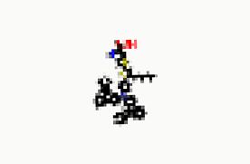 CCCCCCc1cc(-c2ccc(/C=C(\C#N)C(=O)O)s2)sc1-c1ccc(N(c2ccc3c(c2)C(CCCC)(CCCC)c2ccccc2-3)c2ccc3c(c2)C(CCCC)(CCCC)c2ccccc2-3)cc1